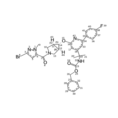 Cn1nc(Br)cc1C(=O)N1C[C@@H]2[C@H](C1)[C@H]2Oc1cc(C(C)(C)NC(=O)OCc2ccccc2)cc(-c2ccc(F)cc2)n1